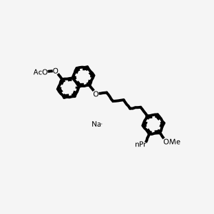 CCCc1cc(CCCCCOc2cccc3c(OOC(C)=O)cccc23)ccc1OC.[Na]